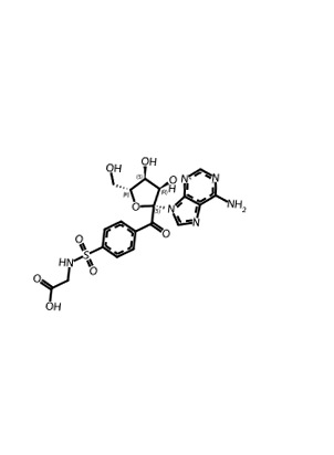 Nc1ncnc2c1ncn2[C@]1(C(=O)c2ccc(S(=O)(=O)NCC(=O)O)cc2)O[C@H](CO)[C@@H](O)[C@H]1O